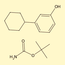 CC(C)(C)OC(N)=O.Oc1cccc(C2CCCCC2)c1